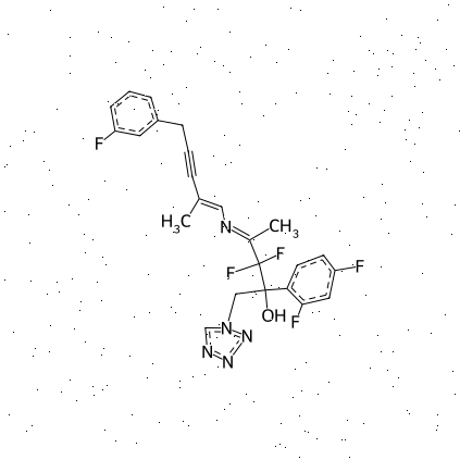 C/C(C#CCc1cccc(F)c1)=C\N=C(/C)C(F)(F)C(O)(Cn1cnnn1)c1ccc(F)cc1F